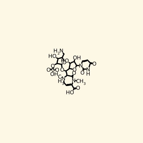 CN1C(=O)C(C(OC2OC(CN)C(O)C2OS(=O)(=O)O)C2OC(n3ccc(=O)[nH]c3=O)C(O)C2O)N(C)CC=C1C(=O)O